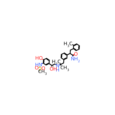 Cc1ccccc1CC(C(N)=O)c1cccc(CC(C)(C)NC[C@H](O)c2ccc(O)c(NS(C)(=O)=O)c2)c1